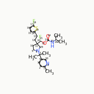 Cc1ccc(C(C)(C)N2CCC(CCc3ccc(F)s3)([C@H](F)OC(=O)NC(C)C)C2)cn1